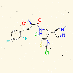 Cn1cc(C(CNC(=O)c2cc(-c3ccc(F)cc3F)on2)c2nc(Cl)sc2Cl)cn1